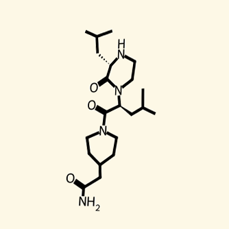 CC(C)C[C@@H]1NCCN([C@@H](CC(C)C)C(=O)N2CCC(CC(N)=O)CC2)C1=O